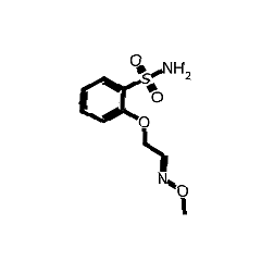 CON=CCOc1ccccc1S(N)(=O)=O